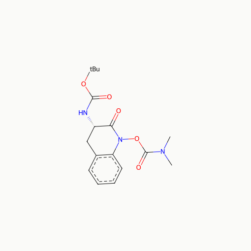 CN(C)C(=O)ON1C(=O)[C@@H](NC(=O)OC(C)(C)C)Cc2ccccc21